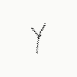 CCCCCCCCCCCCCCCC[n+]1ccn(CCCCCCCCCCC)c1CCCCCCCCC